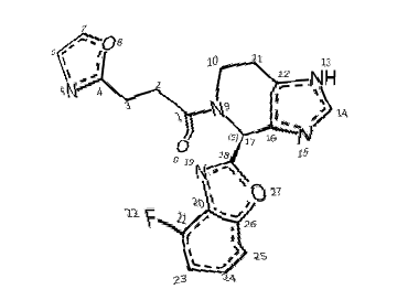 O=C(CCc1ncco1)N1CCc2[nH]cnc2[C@H]1c1nc2c(F)cccc2o1